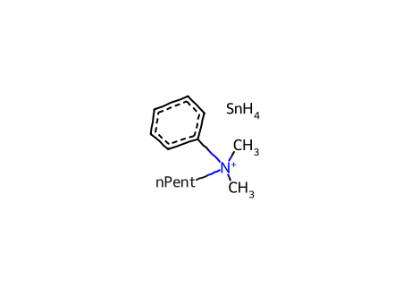 CCCCC[N+](C)(C)c1ccccc1.[SnH4]